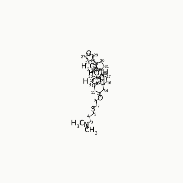 CN(C)CCCSCCOC1CC[C@@]2(C)C(CC[C@@H]3[C@H]2CC[C@]2(C)C(c4ccoc4)CC[C@@]32O)C1